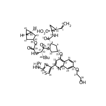 C=C[C@@H]1C[C@@]1(NC(=O)[C@@H]1C[C@H](Oc2cc(-c3csc(NC(C)C)n3)nc3cc(OCCO)ccc23)CN1C(=O)[C@@H](NC(=O)O[C@@H]1C[C@@H]2C[C@@H]2C1)C(C)(C)C)C(=O)O